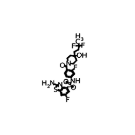 CC(F)(F)CCC1(O)CCN(C(=O)c2ccc(NS(=O)(=O)c3cc(F)cc4sc(N)nc34)cc2F)CC1